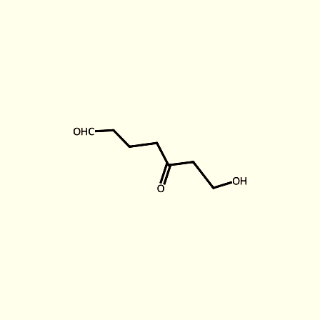 O=CCCCC(=O)CCO